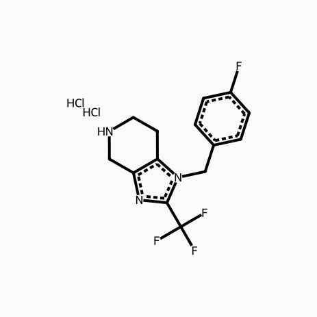 Cl.Cl.Fc1ccc(Cn2c(C(F)(F)F)nc3c2CCNC3)cc1